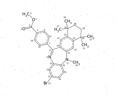 COC(=O)c1ccc(C2=Nc3cc(Br)ccc3N(C)c3cc4c(cc32)C(C)(C)CCC4(C)C)cc1